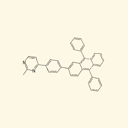 Cc1nccc(-c2ccc(-c3ccc4c(-c5ccccc5)c5ccccc5c(-c5ccccc5)c4c3)cc2)n1